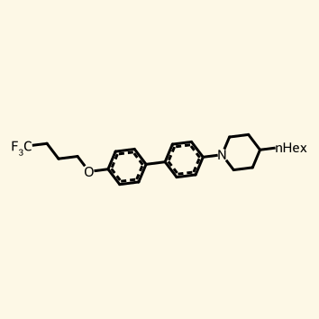 CCCCCCC1CCN(c2ccc(-c3ccc(OCCCC(F)(F)F)cc3)cc2)CC1